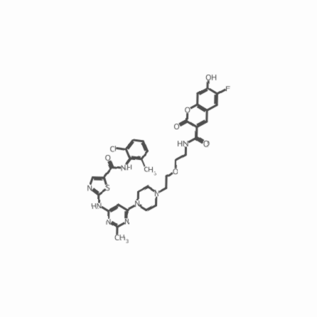 Cc1nc(Nc2ncc(C(=O)Nc3c(C)cccc3Cl)s2)cc(N2CCN(CCOCCNC(=O)c3cc4cc(F)c(O)cc4oc3=O)CC2)n1